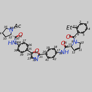 CCc1ccccc1C(=O)N1CC=C[C@H]1C(=O)Nc1ccc(-c2ncc(-c3ccc(NC(=O)[C@@H]4CCCN4C(C)=O)cc3)o2)cc1